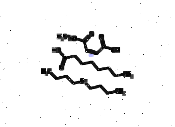 CCCCCCCC(=O)O.CCC[CH2][Sn][CH2]CCC.O=C(O)/C=C\C(=O)O.[SnH2]